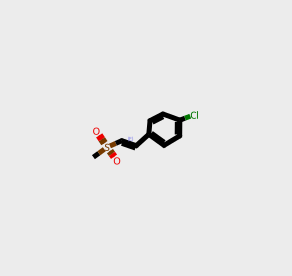 CS(=O)(=O)/C=C/c1ccc(Cl)cc1